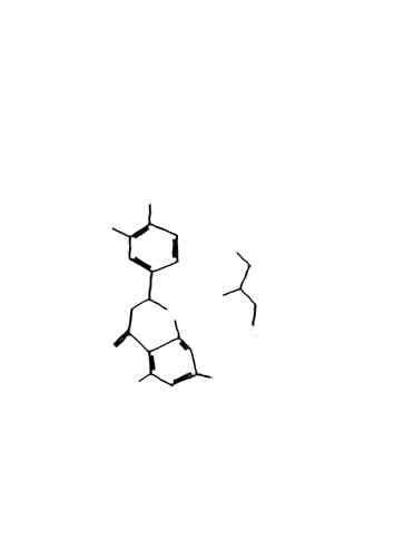 CCC(O)CS.O=C1CC(c2ccc(O)c(O)c2)Oc2cc(O)cc(O)c21